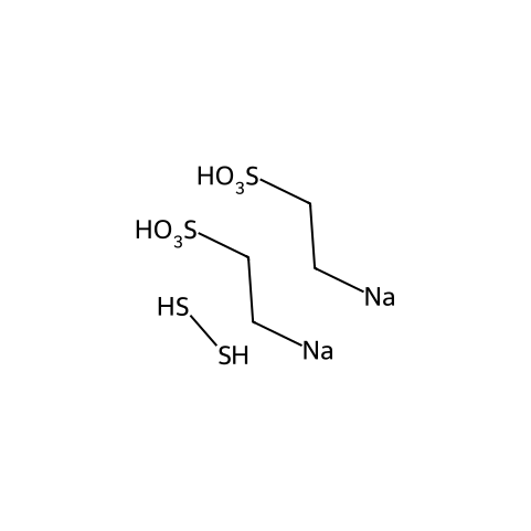 O=S(=O)(O)C[CH2][Na].O=S(=O)(O)C[CH2][Na].SS